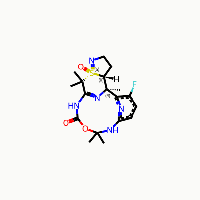 CC1(C)Nc2ccc(F)c(n2)[C@@]2(C)N=C(NC(=O)O1)C(C)(C)[S@]1(=O)=NCC[C@H]21